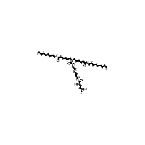 CCCCCCCCCOC(=O)CCCCCN(CCCCCC(=O)OCCCCCCCCC)C(=O)OCCSSCCOC(=O)NCCN(C)C